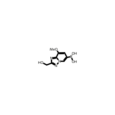 COc1cc(B(O)O)cn2nc(CO)nc12